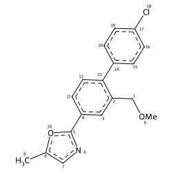 COCc1cc(-c2ncc(C)o2)ccc1-c1ccc(Cl)cc1